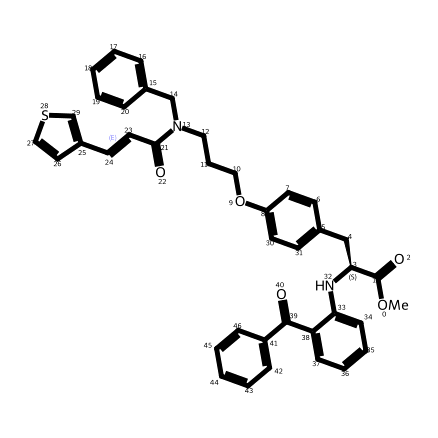 COC(=O)[C@H](Cc1ccc(OCCCN(Cc2ccccc2)C(=O)/C=C/c2ccsc2)cc1)Nc1ccccc1C(=O)c1ccccc1